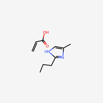 C=CC(=O)O.CCCc1nc(C)c[nH]1